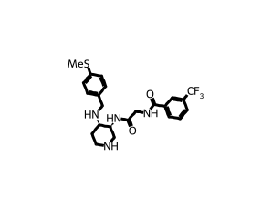 CSc1ccc(CN[C@H]2CCNC[C@H]2NC(=O)CNC(=O)c2cccc(C(F)(F)F)c2)cc1